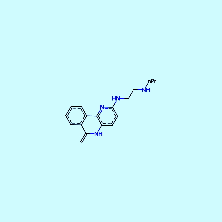 C=C1Nc2ccc(NCCNCCC)nc2-c2ccccc21